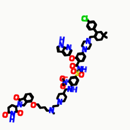 CN(CCCCOc1cccc2c1CN(C1CCC(=O)NC1=O)C2=O)CCN1CCC(CNc2ccc(S(=O)(=O)NC(=O)c3ccc(N4CCN(CC5=C(c6ccc(Cl)cc6)CC(C)(C)CC5)CC4)cc3Oc3cnc4[nH]ccc4c3)cc2[N+](=O)[O-])CC1